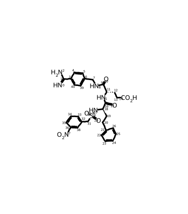 N=C(N)c1ccc(CNC(=O)[C@H](CCC(=O)O)NC(=O)[C@@H](CCc2ccccc2)NS(=O)(=O)Cc2cccc([N+](=O)[O-])c2)cc1